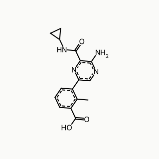 Cc1c(C(=O)O)cccc1-c1cnc(N)c(C(=O)NC2CC2)n1